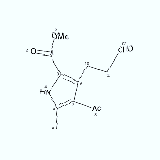 COC(=O)c1[nH]c(C)c(C(C)=O)c1CCC=O